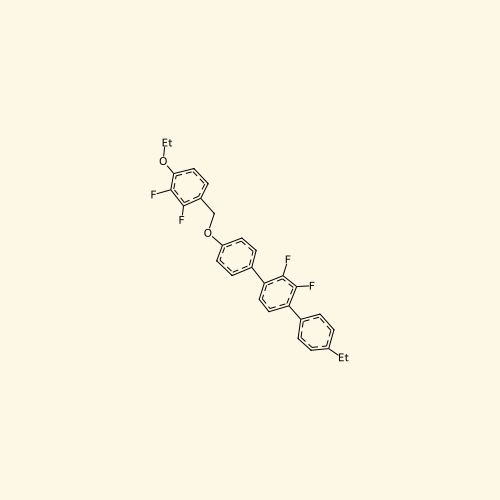 CCOc1ccc(COc2ccc(-c3ccc(-c4ccc(CC)cc4)c(F)c3F)cc2)c(F)c1F